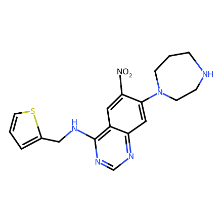 O=[N+]([O-])c1cc2c(NCc3cccs3)ncnc2cc1N1CCCNCC1